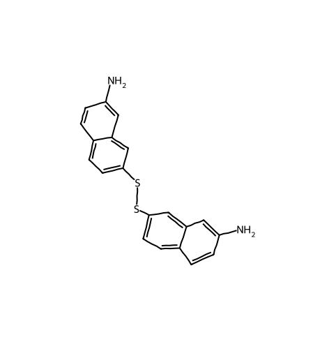 Nc1ccc2ccc(SSc3ccc4ccc(N)cc4c3)cc2c1